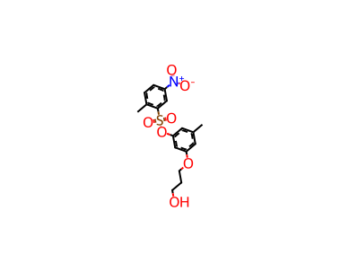 Cc1cc(OCCCO)cc(OS(=O)(=O)c2cc([N+](=O)[O-])ccc2C)c1